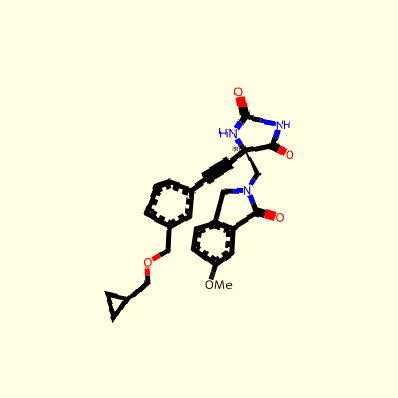 COc1ccc2c(c1)C(=O)N(C[C@@]1(C#Cc3cccc(COCC4CC4)c3)NC(=O)NC1=O)C2